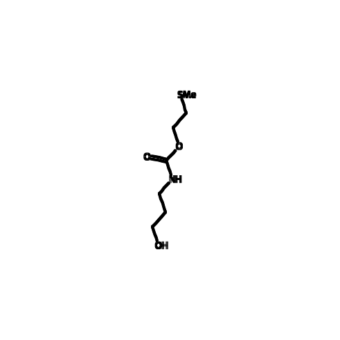 CSCCOC(=O)NCCCO